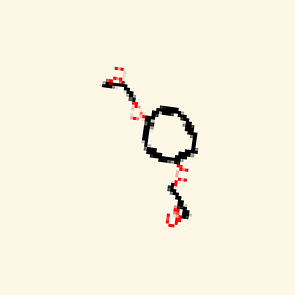 c1ccc(OCC2CO2)cccc(OCC2CO2)cc1